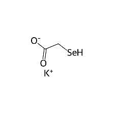 O=C([O-])C[SeH].[K+]